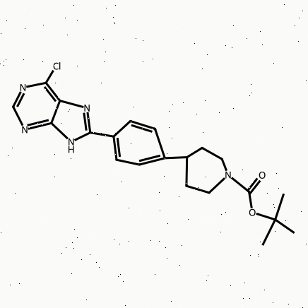 CC(C)(C)OC(=O)N1CCC(c2ccc(-c3nc4c(Cl)ncnc4[nH]3)cc2)CC1